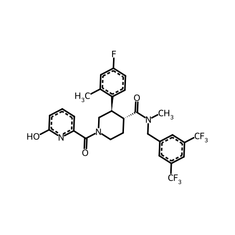 Cc1cc(F)ccc1[C@@H]1CN(C(=O)c2cccc(O)n2)CC[C@H]1C(=O)N(C)Cc1cc(C(F)(F)F)cc(C(F)(F)F)c1